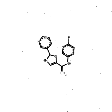 C=C(Nc1ccc(F)nc1)C1=CNC(c2cccnc2)S1